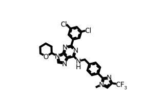 Cn1cc(C(F)(F)F)nc1-c1ccc(CNc2nc(-c3cc(Cl)cc(Cl)c3)nc3c2ncn3C2CCCCO2)cc1